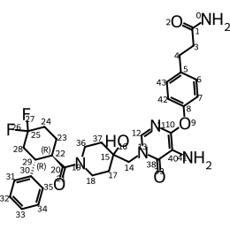 NC(=O)CCc1ccc(Oc2ncn(CC3(O)CCN(C(=O)[C@@H]4CCC(F)(F)C[C@H]4c4ccccc4)CC3)c(=O)c2N)cc1